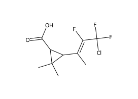 CC(=C(F)C(F)(F)Cl)C1C(C(=O)O)C1(C)C